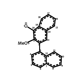 COc1c(-c2cccc3ccccc23)cc2ccccc2c1[O]